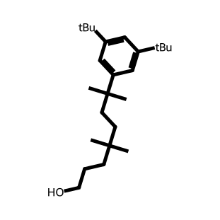 CC(C)(CCCO)CCC(C)(C)c1cc(C(C)(C)C)cc(C(C)(C)C)c1